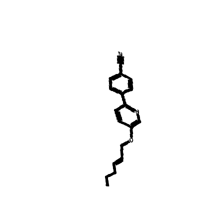 CCCC=CCOc1ccc(-c2ccc(C#N)cc2)nc1